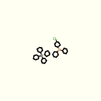 Clc1ccc([S+](c2ccccc2)c2ccccc2)cc1.c1ccc([B-](c2ccccc2)(c2ccccc2)c2ccccc2)cc1